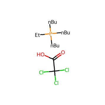 CCCC[P](CC)(CCCC)CCCC.O=C(O)C(Cl)(Cl)Cl